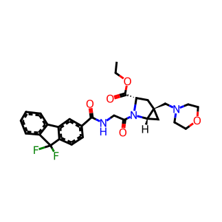 CCOC(=O)[C@@H]1C[C@]2(CN3CCOCC3)C[C@@H]2N1C(=O)CNC(=O)c1ccc2c(c1)-c1ccccc1C2(F)F